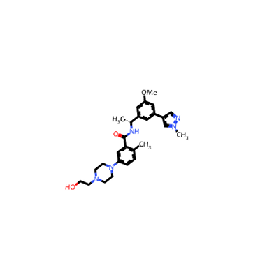 COc1cc(-c2cnn(C)c2)cc([C@@H](C)NC(=O)c2cc(N3CCN(CCO)CC3)ccc2C)c1